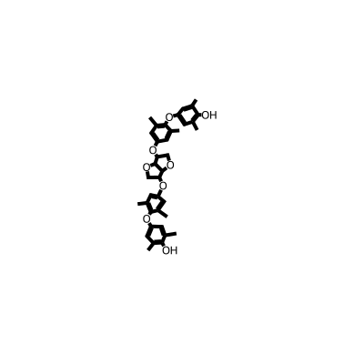 Cc1cc(Oc2c(C)cc(OC3COC4C(Oc5cc(C)c(Oc6cc(C)c(O)c(C)c6)c(C)c5)COC34)cc2C)cc(C)c1O